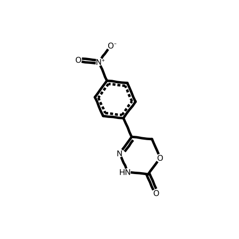 O=C1NN=C(c2ccc([N+](=O)[O-])cc2)CO1